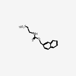 O=S(=O)(O)CCNC(=S)OCc1ccc2ccccc2c1